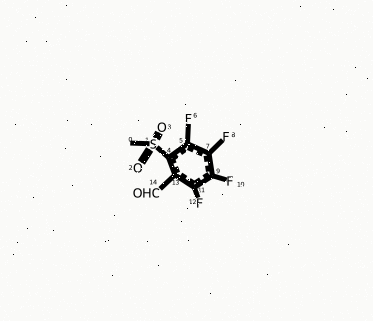 CS(=O)(=O)c1c(F)c(F)c(F)c(F)c1C=O